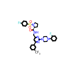 O=C(NCc1cc(-c2cccc(C(F)(F)F)c2)nc(N2CCN(c3ccccc3F)CC2)n1)[C@@H]1CCCN1S(=O)(=O)c1ccc(F)cc1